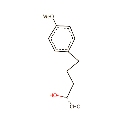 COc1ccc(CCC[C@@H](O)C=O)cc1